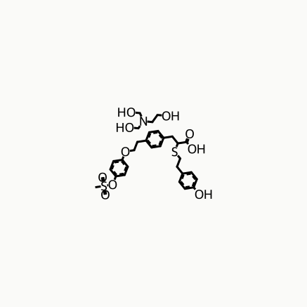 CS(=O)(=O)Oc1ccc(OCCc2ccc(CC(SCCc3ccc(O)cc3)C(=O)O)cc2)cc1.OCCN(CO)CO